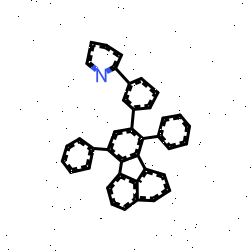 c1ccc(-c2cc(-c3cccc(-c4ccccn4)c3)c(-c3ccccc3)c3c2-c2cccc4cccc-3c24)cc1